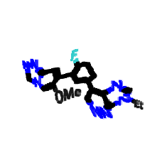 CCn1cnc2c(-c3ccc(F)c(-c4cc5nncn5cc4OC)c3)cnnc21